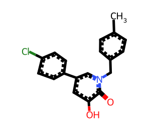 Cc1ccc(Cn2cc(-c3ccc(Cl)cc3)cc(O)c2=O)cc1